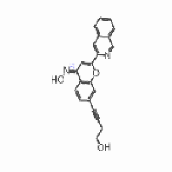 OCCC#Cc1ccc2/c(=N\O)cc(-c3cc4ccccc4cn3)oc2c1